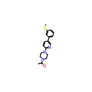 CSc1cccc(-c2ccc(N3CCN(C(C)=O)CC3)nc2)c1